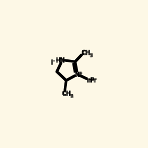 CCC[N+]1=C(C)NCC1C.[I-]